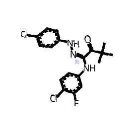 CC(C)(C)C(=O)/C(=N\Nc1ccc(Cl)cc1)Nc1ccc(Cl)c(F)c1